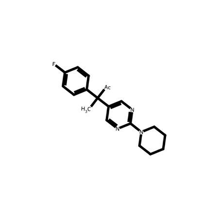 CC(=O)C(C)(c1ccc(F)cc1)c1cnc(N2CCCCC2)nc1